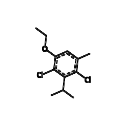 CCOc1cc(C)c(Cl)c(C(C)C)c1Cl